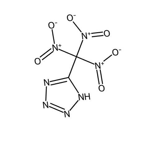 O=[N+]([O-])C(c1nnn[nH]1)([N+](=O)[O-])[N+](=O)[O-]